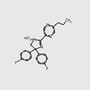 CCCc1cnc(C2=NC(c3ccc(F)cc3)(c3ccc(F)cc3)CN2)cn1.Cl